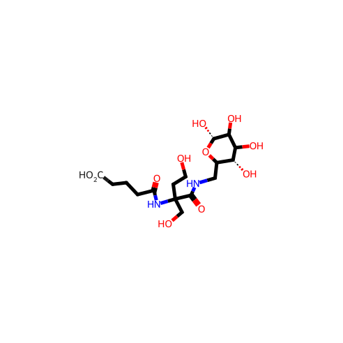 O=C(O)CCCC(=O)NC(CO)(CCO)C(=O)NCC1O[C@H](O)C(O)C(O)[C@@H]1O